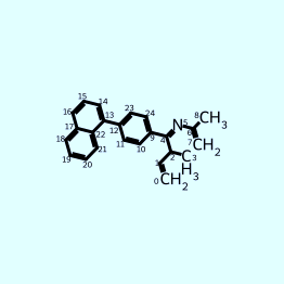 C=CC(C)/C(=N\C(=C)C)c1ccc(-c2cccc3ccccc23)cc1